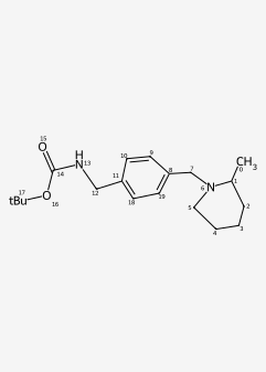 CC1CCCCN1Cc1ccc(CNC(=O)OC(C)(C)C)cc1